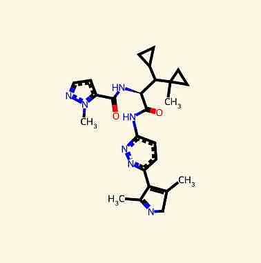 CC1=NCC(C)=C1c1ccc(NC(=O)[C@@H](NC(=O)c2ccnn2C)C(C2CC2)C2(C)CC2)nn1